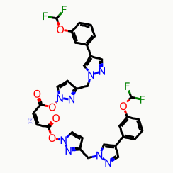 O=C(/C=C\C(=O)On1ccc(Cn2cc(-c3cccc(OC(F)F)c3)cn2)n1)On1ccc(Cn2cc(-c3cccc(OC(F)F)c3)cn2)n1